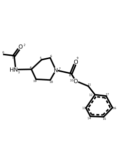 CC(=O)NC1CCN(C(=O)OCc2ccccc2)CC1